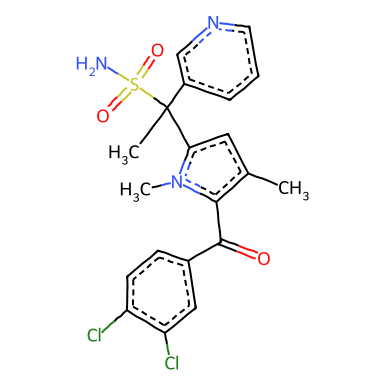 Cc1cc(C(C)(c2cccnc2)S(N)(=O)=O)n(C)c1C(=O)c1ccc(Cl)c(Cl)c1